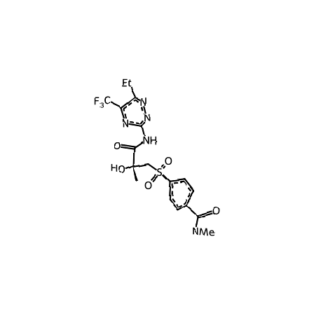 CCc1nnc(NC(=O)[C@@](C)(O)CS(=O)(=O)c2ccc(C(=O)NC)cc2)nc1C(F)(F)F